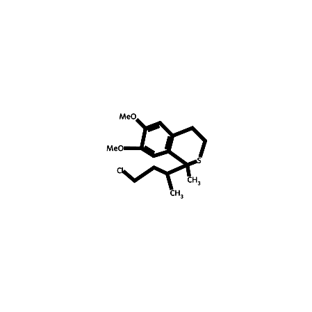 COc1cc2c(cc1OC)C(C)(C(C)CCCl)SCC2